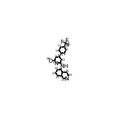 COc1cc(-c2ccc(C(F)(F)F)cc2)cc(Nc2cccc3cnccc23)n1